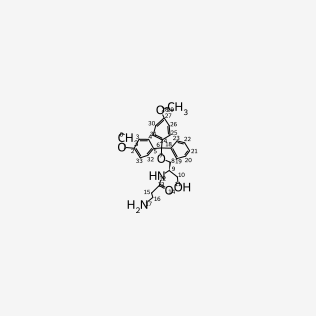 COc1ccc(C(OC[C@@H](CO)NC(=O)CCN)(c2ccccc2)c2ccc(OC)cc2)cc1